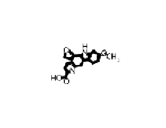 COc1ccc2c(Cc3cccc(C(=O)O)n3)c(-c3ccoc3)[nH]c2c1